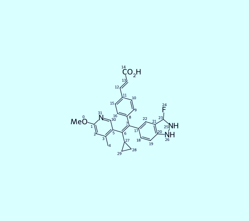 COc1cc(C)c(/C(=C(\c2ccc(/C=C/C(=O)O)cc2)c2ccc3c(c2)C(F)NN3)C2CC2)cn1